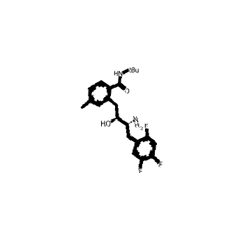 Cc1ccc(C(=O)NC(C)(C)C)c(C[C@H](O)[C@H](N)Cc2cc(F)c(F)cc2F)c1